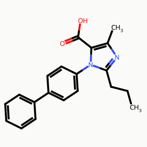 CCCc1nc(C)c(C(=O)O)n1-c1ccc(-c2ccccc2)cc1